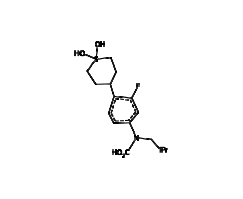 CC(C)CN(C(=O)O)c1ccc(C2CCS(O)(O)CC2)c(F)c1